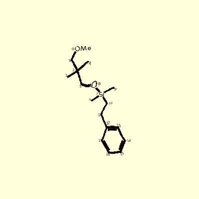 COCC(C)(C)CO[Si](C)(C)CCc1ccccc1